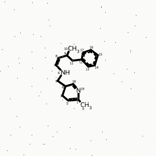 CC1=CCC(CN/C=C\C(C)Cc2ccccc2)C=N1